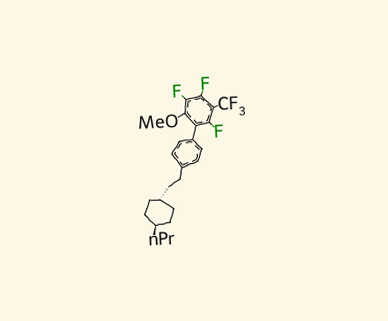 CCC[C@H]1CC[C@H](CCc2ccc(-c3c(F)c(C(F)(F)F)c(F)c(F)c3OC)cc2)CC1